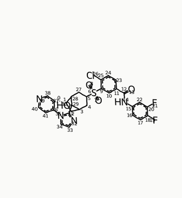 C[C@H]1CC2CC(S(=O)(=O)c3cc(C(=O)Nc4ccc(F)c(F)c4)ccc3Cl)CC1[C@@]2(O)c1nccn1-c1ccncc1